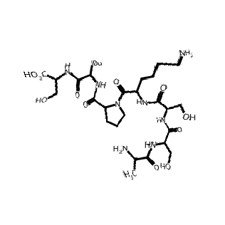 CCC(C)C(NC(=O)C1CCCN1C(=O)C(CCCCN)NC(=O)C(CO)NC(=O)C(CO)NC(=O)C(C)N)C(=O)NC(CO)C(=O)O